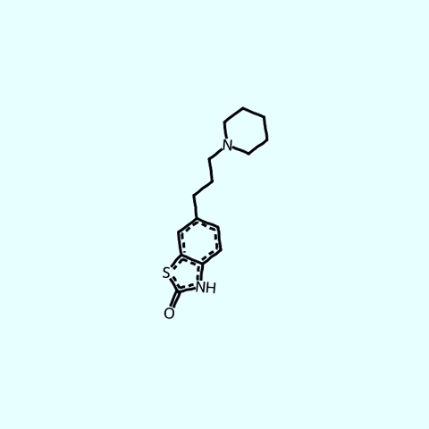 O=c1[nH]c2ccc(CCCN3CCCCC3)cc2s1